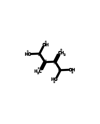 C=C(C(=C)C(O)O)C(O)O